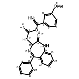 COc1cccc(C(=N)OC(=N)NC2N=C(c3ccccc3)c3ccccc3NC2=O)c1